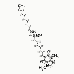 CCCCCCCCCCNCC(O)CCCCCCCn1c(=O)c2c(ncn2C)n(C)c1=O